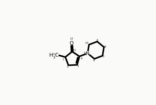 CC1CC=C(N2CCCCC2)C1=O